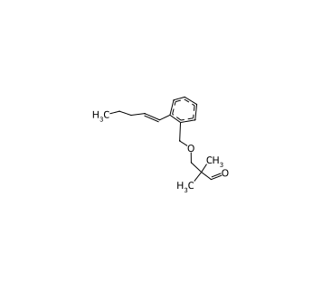 CCC/C=C/c1ccccc1COCC(C)(C)C=O